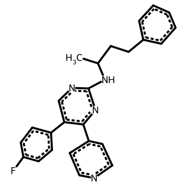 CC(CCc1ccccc1)Nc1ncc(-c2ccc(F)cc2)c(-c2ccncc2)n1